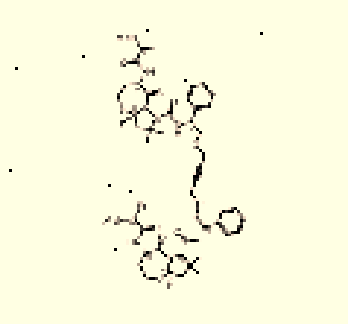 CC[C@H](NC)C(=O)N[C@H]1CCS[C@H]2CC(C)(C)[C@@H](C(=O)C[C@H](COCC#CCOC[C@@H](NC(=O)[C@H]3N4C(=O)[C@@H](NC(=S)[C@H](C)NC)CCS[C@H]4CC3(C)C)c3ccccc3)c3ccccc3)N2C1=O